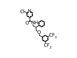 O=C(NCC(COCc1cc(C(F)(F)F)cc(C(F)(F)F)c1)c1ccccc1)c1ccnc(Cl)c1